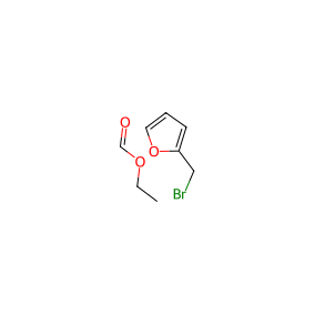 BrCc1ccco1.CCOC=O